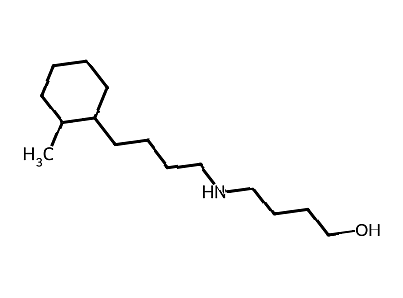 CC1CCCCC1CCCCNCCCCO